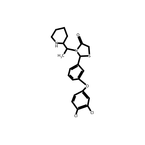 CC(C1CCCCN1)N1C(=O)CSC1c1cccc(Oc2ccc(Cl)c(Cl)c2)c1